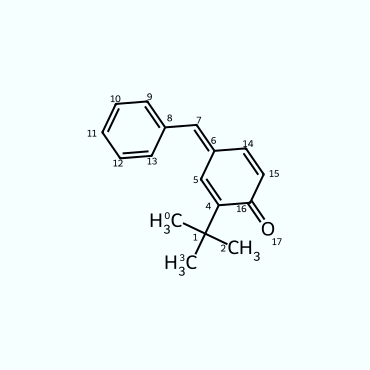 CC(C)(C)C1=C/C(=C\c2ccccc2)C=CC1=O